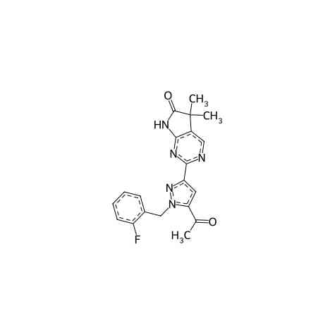 CC(=O)c1cc(-c2ncc3c(n2)NC(=O)C3(C)C)nn1Cc1ccccc1F